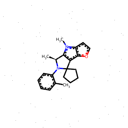 Cc1ccccc1N1[C@@H](C)c2c(c3occc3n2C)C12CCCC2